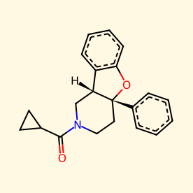 O=C(C1CC1)N1CC[C@@]2(c3ccccc3)Oc3ccccc3[C@H]2C1